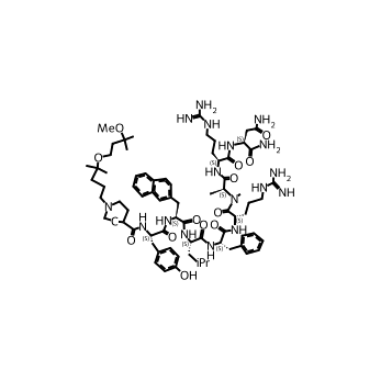 COC(C)(C)CCOC(C)(C)CCCN1CCC(C(=O)N[C@@H](Cc2ccc(O)cc2)C(=O)N[C@@H](Cc2ccc3ccccc3c2)C(=O)N[C@@H](CC(C)C)C(=O)N[C@@H](Cc2ccccc2)C(=O)N[C@@H](CCCNC(=N)N)C(=O)N(C)[C@@H](C)C(=O)N[C@@H](CCCNC(=N)N)C(=O)N[C@@H](CC(N)=O)C(N)=O)CC1